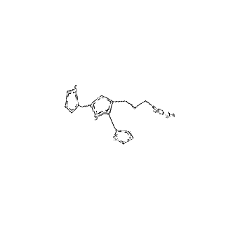 O=S(=O)(O)CCCc1cc(-c2cccs2)sc1-c1cccs1